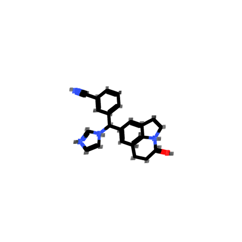 N#Cc1cccc(C(c2cc3c4c(c2)CCN4C(=O)CC3)n2ccnc2)c1